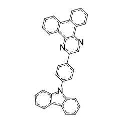 c1ccc2c(c1)c1ccccc1c1nc(-c3ccc(-n4c5ccccc5c5ccccc54)cc3)cnc21